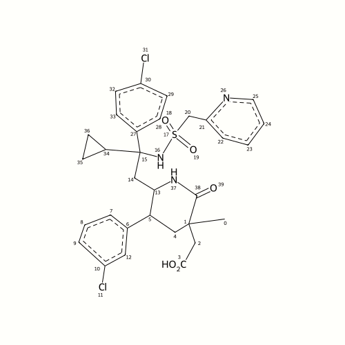 CC1(CC(=O)O)CC(c2cccc(Cl)c2)C(CC(NS(=O)(=O)Cc2ccccn2)(c2ccc(Cl)cc2)C2CC2)NC1=O